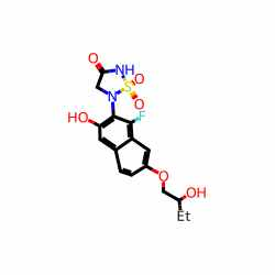 CCC(O)COc1ccc2cc(O)c(N3CC(=O)NS3(=O)=O)c(F)c2c1